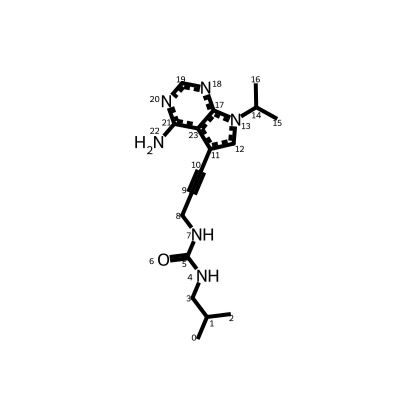 CC(C)CNC(=O)NCC#Cc1cn(C(C)C)c2ncnc(N)c12